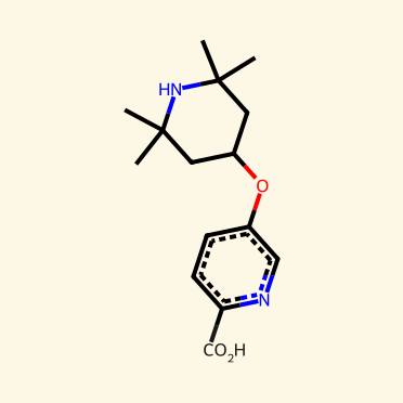 CC1(C)CC(Oc2ccc(C(=O)O)nc2)CC(C)(C)N1